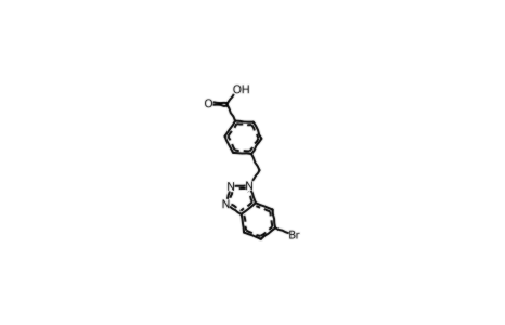 O=C(O)c1ccc(Cn2nnc3ccc(Br)cc32)cc1